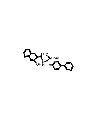 COC(=O)[C@H](Cc1ccc(-c2ccccc2)cc1)NC(=O)c1cc2ccccc2cc1O